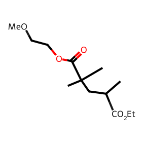 CCOC(=O)C(C)CC(C)(C)C(=O)OCCOC